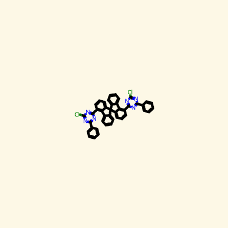 Clc1nc(-c2ccccc2)nc(-c2cccc3c2-c2ccccc2C32c3ccccc3-c3c(-c4nc(Cl)nc(-c5ccccc5)n4)cccc32)n1